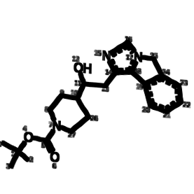 CC(C)(C)OC(=O)N1CCC(C(O)Cc2ncn3c2-c2ccccc2C3)CC1